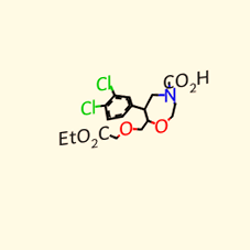 CCOC(=O)COCC1OCCN(C(=O)O)CC1c1ccc(Cl)c(Cl)c1